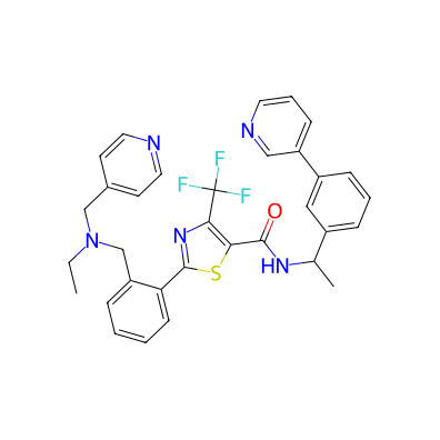 CCN(Cc1ccncc1)Cc1ccccc1-c1nc(C(F)(F)F)c(C(=O)NC(C)c2cccc(-c3cccnc3)c2)s1